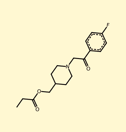 CCC(=O)OCC1CCN(CC(=O)c2ccc(F)cc2)CC1